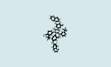 O=C(Nc1cc(F)c(Oc2ccc3nccnc3c2)c(F)c1)N(c1ccc(Cl)c(C(F)(F)F)c1)N(C(=O)Nc1cccc(C(F)(F)F)c1)c1ccc(Oc2ccc3nccnc3c2)cc1F